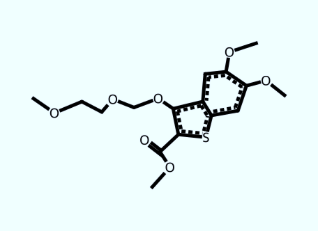 COCCOCOc1c(C(=O)OC)sc2cc(OC)c(OC)cc12